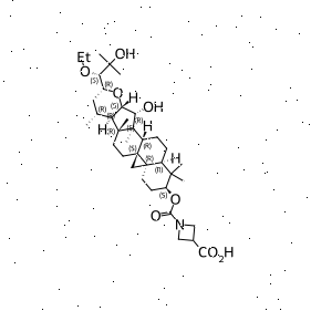 CCO[C@@H]([C@H]1C[C@@H](C)[C@H]2[C@H](O1)[C@H](O)[C@@]1(C)[C@@H]3CC[C@H]4C(C)(C)[C@@H](OC(=O)N5CC(C(=O)O)C5)CC[C@@]45C[C@@]35CC[C@]21C)C(C)(C)O